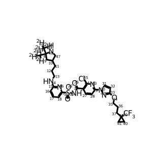 [2H]C([2H])([2H])C1(C([2H])([2H])[2H])CC(CCCNc2cccc(S(=O)(=O)NC(=O)c3ccc(-n4ccc(OCCCC5(C(F)(F)F)CC5)n4)nc3Cl)n2)CN1